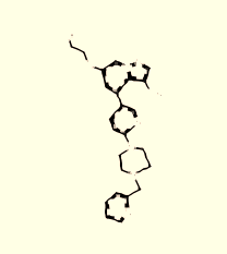 N#Cc1cnn2cc(OCCO)cc(-c3ccc(N4CCN(Cc5ccccn5)CC4)nc3)c12